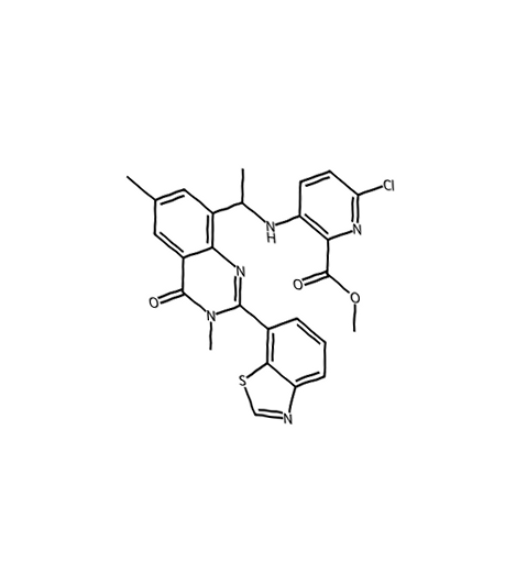 COC(=O)c1nc(Cl)ccc1NC(C)c1cc(C)cc2c(=O)n(C)c(-c3cccc4ncsc34)nc12